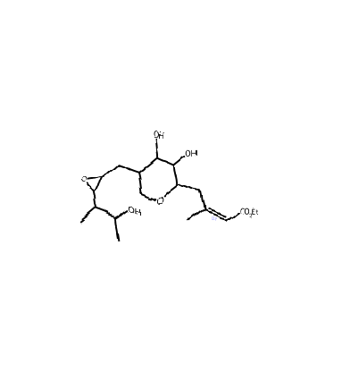 CCOC(=O)/C=C(/C)CC1OCC(CC2OC2C(C)C(C)O)C(O)C1O